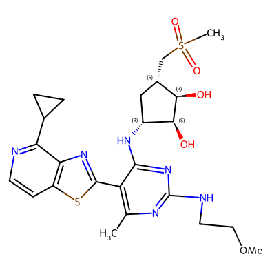 COCCNc1nc(C)c(-c2nc3c(C4CC4)nccc3s2)c(N[C@@H]2C[C@H](CS(C)(=O)=O)[C@@H](O)[C@H]2O)n1